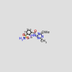 COc1nc(C)nc(NC(=O)c2cccc(S(N)(=O)=O)c2I)n1